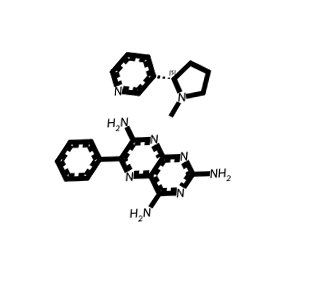 CN1CCC[C@H]1c1cccnc1.Nc1nc(N)c2nc(-c3ccccc3)c(N)nc2n1